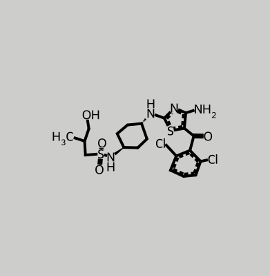 CC(CO)CS(=O)(=O)N[C@H]1CC[C@H](Nc2nc(N)c(C(=O)c3c(Cl)cccc3Cl)s2)CC1